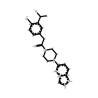 CC(F)c1cc(CC(=O)N2CCN(c3ccc4nncn4n3)CC2)ccc1Cl